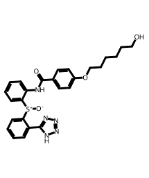 O=C(Nc1ccccc1[S+]([O-])c1ccccc1-c1nnn[nH]1)c1ccc(OCCCCCCO)cc1